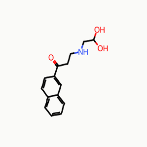 O=C(CCNCC(O)O)c1ccc2ccccc2c1